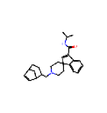 CC(C)NC(=O)C1=CC2(CCN(CC3CCC4C=CC3C4)CC2)c2ccccc21